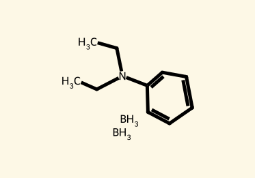 B.B.CCN(CC)c1ccccc1